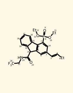 CC/C=C/c1cc2c(c(P(=O)(OCC)OCC)c1)-c1ccccc1C2C(=O)NCC(F)(F)F